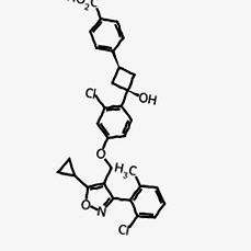 Cc1cccc(Cl)c1-c1noc(C2CC2)c1COc1ccc([C@]2(O)C[C@@H](c3ccc(C(=O)O)cc3)C2)c(Cl)c1